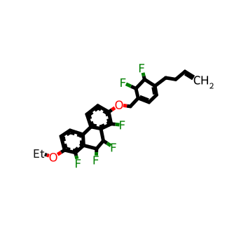 C=CCCC1=CC=C(COc2ccc3c(c2F)C(F)C(F)c2c-3ccc(OCC)c2F)C(F)C1F